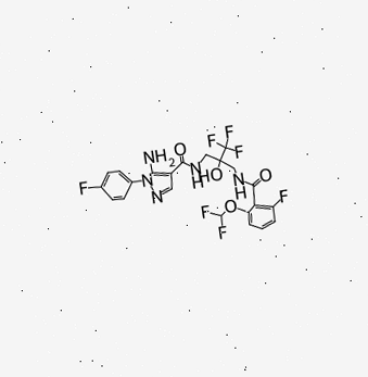 Nc1c(C(=O)NCC(O)(CNC(=O)c2c(F)cccc2OC(F)F)C(F)(F)F)cnn1-c1ccc(F)cc1